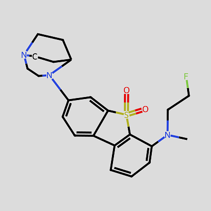 CN(CCF)c1cccc2c1S(=O)(=O)c1cc(N3CCN4CCC3CC4)ccc1-2